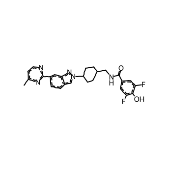 Cc1ccnc(-c2ccc3cn(C4CCC(CNC(=O)c5cc(F)c(O)c(F)c5)CC4)nc3c2)n1